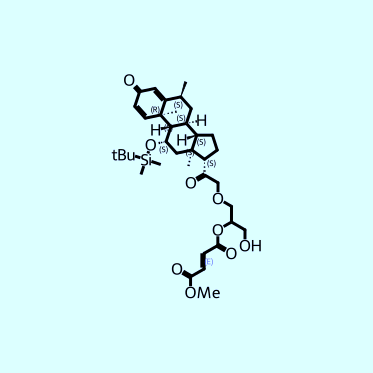 COC(=O)/C=C/C(=O)OC(CO)COCC(=O)[C@H]1CC[C@H]2[C@@H]3C[C@H](C)C4=CC(=O)C=C[C@]4(C)[C@H]3[C@@H](O[Si](C)(C)C(C)(C)C)C[C@]12C